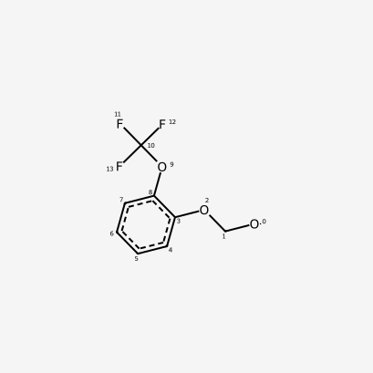 [O]COc1ccccc1OC(F)(F)F